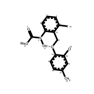 COC(=O)N(O)c1cccc(I)c1COc1ccc(C)cc1Cl